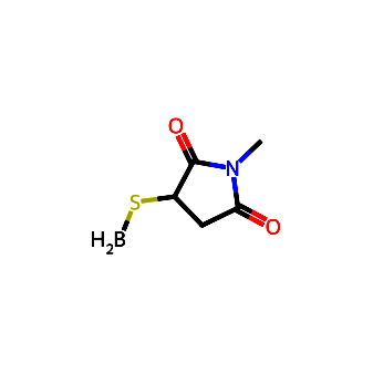 BSC1CC(=O)N(C)C1=O